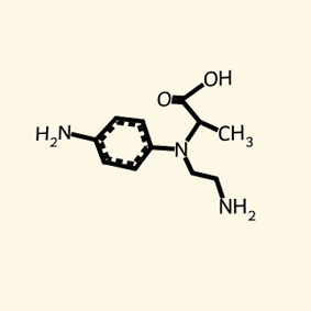 CC(C(=O)O)N(CCN)c1ccc(N)cc1